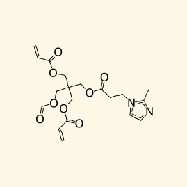 C=CC(=O)OCC(COC=O)(COC(=O)C=C)COC(=O)CCn1ccnc1C